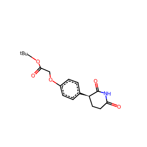 CC(C)(C)OC(=O)COc1ccc([C@@H]2CCC(=O)NC2=O)cc1